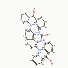 O=c1c2ccccc2n2c3ccc4ccc5c6c4c3n(c(=O)n6c3cccc4c(=O)c6ccccc6n5c43)c3cccc1c32